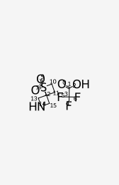 O=C(O)C(F)(F)F.O=S1(=O)CCC12CNC2